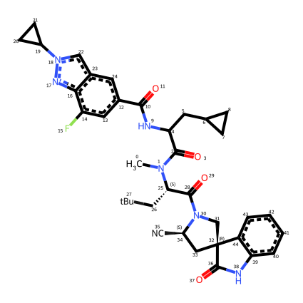 CN(C(=O)C(CC1CC1)NC(=O)c1cc(F)c2nn(C3CC3)cc2c1)[C@@H](CC(C)(C)C)C(=O)N1C[C@]2(C[C@H]1C#N)C(=O)Nc1ccccc12